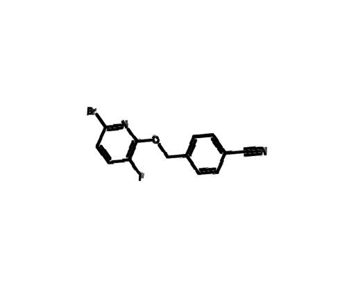 N#Cc1ccc(COc2nc(Br)ccc2F)cc1